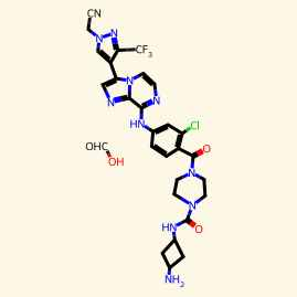 N#CCn1cc(-c2cnc3c(Nc4ccc(C(=O)N5CCN(C(=O)NC6CC(N)C6)CC5)c(Cl)c4)nccn23)c(C(F)(F)F)n1.O=CO